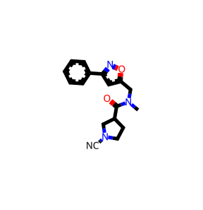 CN(Cc1cc(-c2ccccc2)no1)C(=O)C1CCN(C#N)C1